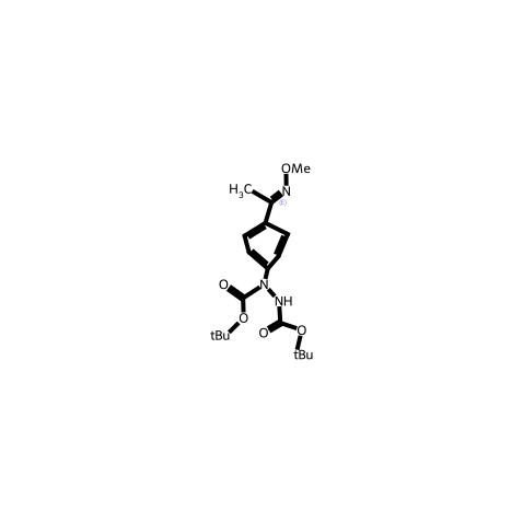 CO/N=C(\C)c1ccc(N(NC(=O)OC(C)(C)C)C(=O)OC(C)(C)C)cc1